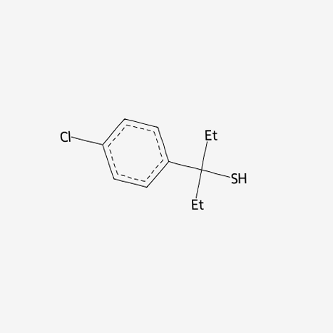 CCC(S)(CC)c1ccc(Cl)cc1